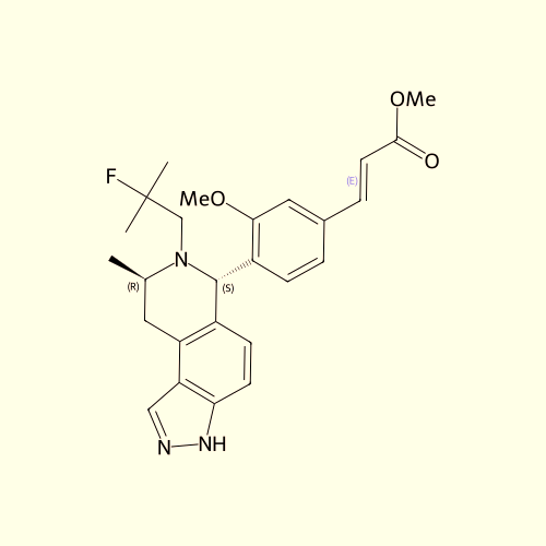 COC(=O)/C=C/c1ccc([C@@H]2c3ccc4[nH]ncc4c3C[C@@H](C)N2CC(C)(C)F)c(OC)c1